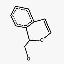 [O]CC1OC=Cc2ccccc21